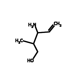 C=CC(N)C(C)CO